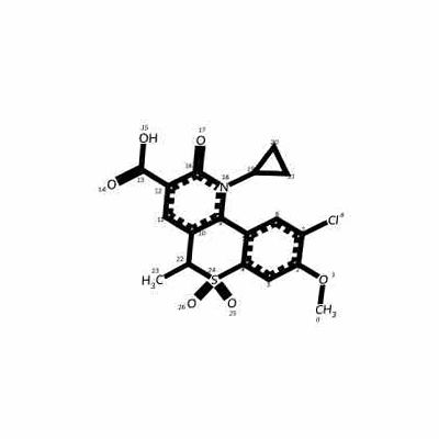 COc1cc2c(cc1Cl)-c1c(cc(C(=O)O)c(=O)n1C1CC1)C(C)S2(=O)=O